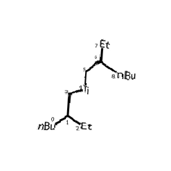 CCCCC(CC)[CH2][Ti][CH2]C(CC)CCCC